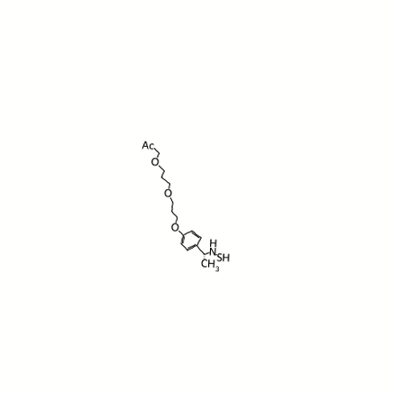 CC(=O)COCCCOCCCOc1ccc([C@@H](C)NS)cc1